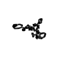 O=C(C1CCOCC1)N1CC[C@H](CNc2cc(-n3c(C(F)F)nc4ccccc43)nc(N3CCOCC3)n2)C1